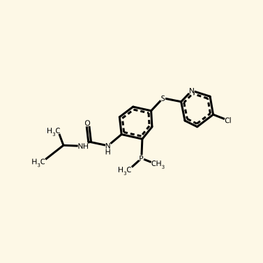 CC(C)NC(=O)Nc1ccc(Sc2ccc(Cl)cn2)cc1P(C)C